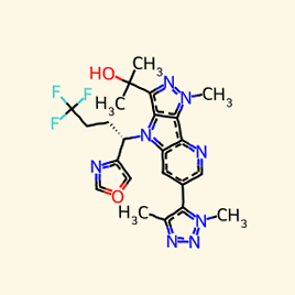 Cc1nnn(C)c1-c1cnc2c3c(c(C(C)(C)O)nn3C)n([C@@H](CCC(F)(F)F)c3cocn3)c2c1